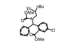 CCCCC(CC)CN(C(=O)OC)C(c1ccccc1)c1ccc(Cl)cc1C(=O)OC